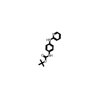 CC(C)(C)OC(=O)Nc1ccc(Nc2ccccn2)cc1